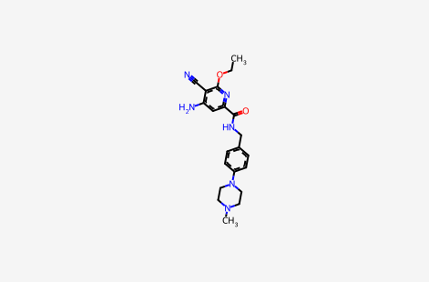 CCOc1nc(C(=O)NCc2ccc(N3CCN(C)CC3)cc2)cc(N)c1C#N